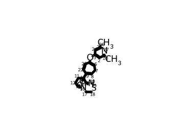 Cc1cc(OC2=CCC=C(C34CCC(CC3)N3CCSN=C34)C=C2)cc(C)n1